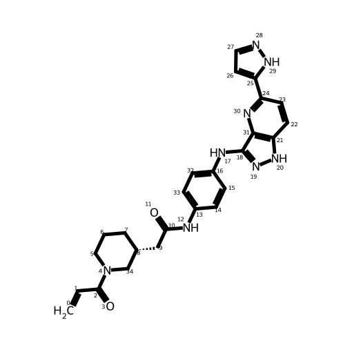 C=CC(=O)N1CCC[C@H](CC(=O)Nc2ccc(Nc3n[nH]c4ccc(-c5ccn[nH]5)nc34)cc2)C1